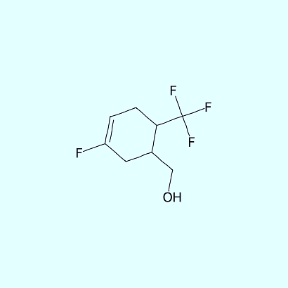 OCC1CC(F)=CCC1C(F)(F)F